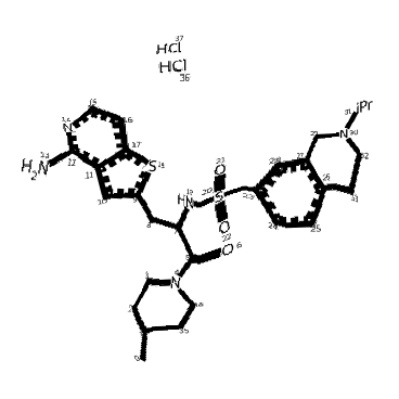 CC1CCN(C(=O)C(Cc2cc3c(N)nccc3s2)NS(=O)(=O)c2ccc3c(c2)CN(C(C)C)CC3)CC1.Cl.Cl